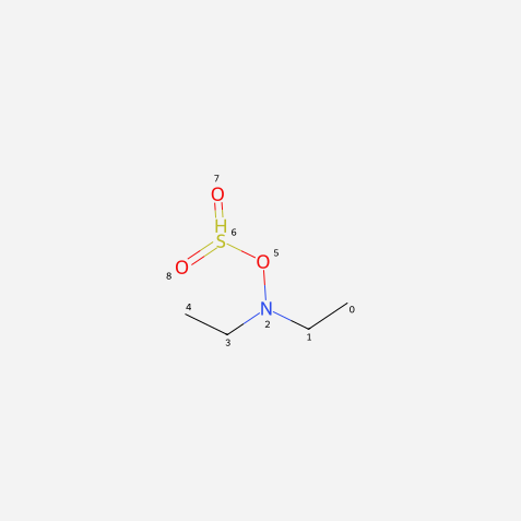 CCN(CC)O[SH](=O)=O